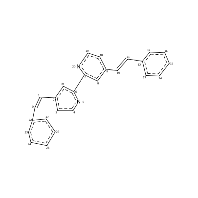 C(=C/c1ccnc(-c2cc(/C=C/c3ccccc3)ccn2)c1)/c1ccccc1